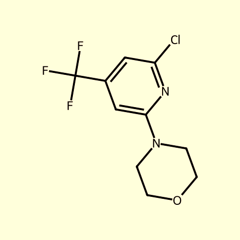 FC(F)(F)c1cc(Cl)nc(N2CCOCC2)c1